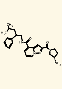 CC(C)CC(CNC(=O)c1cccn2nc(C(=O)N3CC[C@@H](N)C3)cc12)c1ccccc1